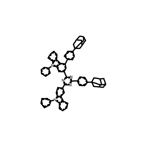 c1ccc(-n2c3ccccc3c3cc(-c4nc(-c5ccc(C67CC8CC(CC(C8)C6)C7)cc5)nc(-c5cc(-c6ccc(C78CC9CC(CC(C9)C7)C8)cc6)c6c7ccccc7n(-c7ccccc7)c6c5)n4)ccc32)cc1